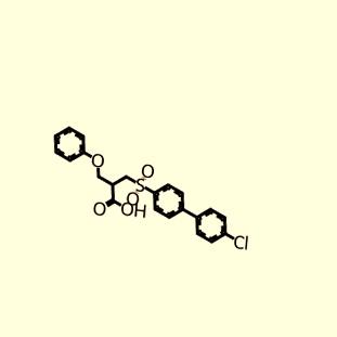 O=C(O)C(COc1ccccc1)CS(=O)(=O)c1ccc(-c2ccc(Cl)cc2)cc1